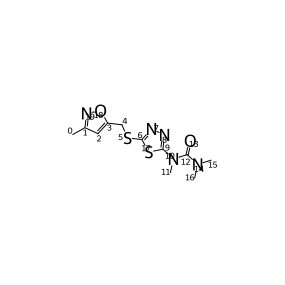 Cc1cc(CSc2nnc(N(C)C(=O)N(C)C)s2)on1